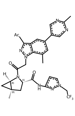 CC(=O)c1nn(CC(=O)N2[C@H](C(=O)Nc3ccn(CC(F)(F)F)n3)C[C@@]3(C)C[C@@H]23)c2c(C)cc(-c3cnc(C)nc3)cc12